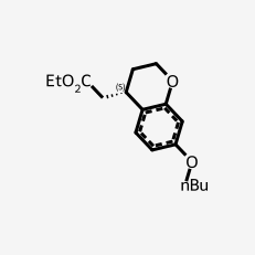 CCCCOc1ccc2c(c1)OCC[C@H]2CC(=O)OCC